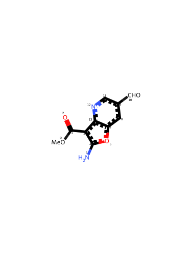 COC(=O)c1c(N)oc2cc(C=O)cnc12